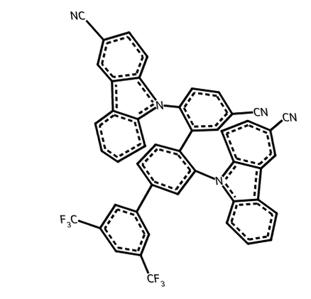 N#Cc1ccc(-n2c3ccccc3c3cc(C#N)ccc32)c(-c2ccc(-c3cc(C(F)(F)F)cc(C(F)(F)F)c3)cc2-n2c3ccccc3c3cc(C#N)ccc32)c1